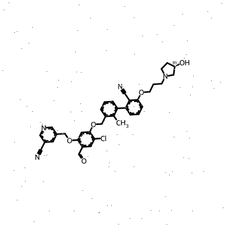 Cc1c(COc2cc(OCc3cncc(C#N)c3)c(C=O)cc2Cl)cccc1-c1cccc(OCCCN2CC[C@@H](O)C2)c1C#N